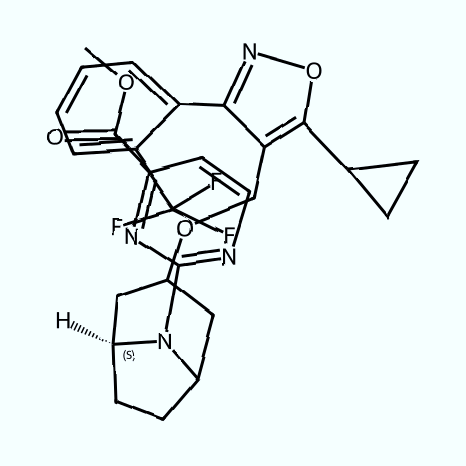 COC(=O)c1ccnc(N2C3CC[C@H]2CC(OCc2c(-c4ccccc4C(F)(F)F)noc2C2CC2)C3)n1